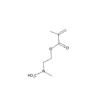 C=C(C)C(=O)OCCN(C)C(=O)O